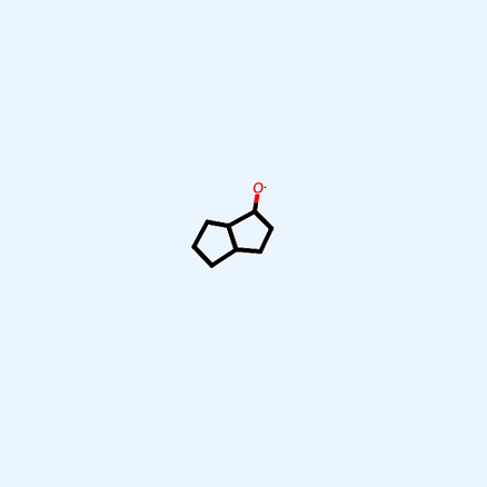 [O]C1CCC2CCCC12